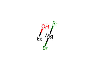 CCO.[Br][Mg][Br]